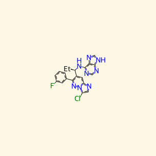 CC[C@@H](Nc1ncnc2[nH]cnc12)c1cc2ncc(Cl)n2nc1-c1cccc(F)c1